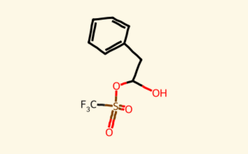 O=S(=O)(OC(O)Cc1ccccc1)C(F)(F)F